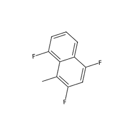 Cc1c(F)cc(F)c2cccc(F)c12